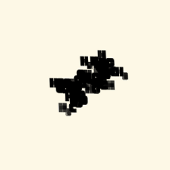 CCOP(=O)(O)O[C@@H]1C[C@H](OP(=O)(O)O)C[C@H](OP(=O)(O)OC[C@H]2O[C@@H](n3c[n+](C)c4c(=O)[nH]c(N)nc43)[C@H](O)[C@@H]2O)C1